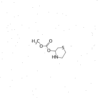 COC(=O)OC1CSCCN1